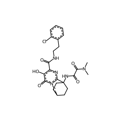 CN(C)C(=O)C(=O)NC12CCC(CC1)Cn1c2nc(C(=O)NCCc2ccccc2Cl)c(O)c1=O